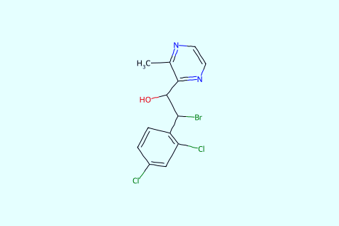 Cc1nccnc1C(O)C(Br)c1ccc(Cl)cc1Cl